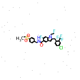 CCS(=O)(=O)c1ccc(CNC(=O)c2cc3cc(Cc4ccc(Cl)cc4C(F)(F)F)n(CCF)c3cc2F)cc1